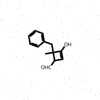 CC1(Cc2ccccc2)C(O)=CC1C=O